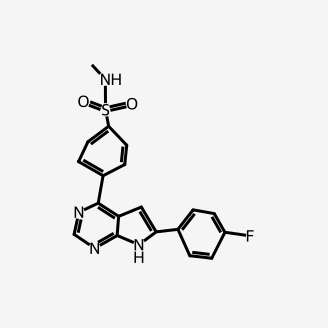 CNS(=O)(=O)c1ccc(-c2ncnc3[nH]c(-c4ccc(F)cc4)cc23)cc1